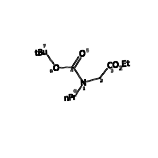 CCCN(CC(=O)OCC)C(=O)OC(C)(C)C